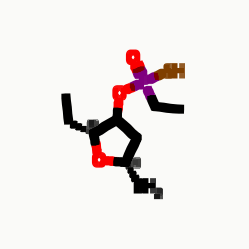 B[C@H]1CC(OP(=O)(S)CC)[C@@H](CC)O1